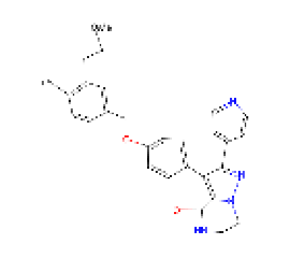 COCCc1cc(COc2ccc(-c3c(-c4ccncc4)nn4c3C(=O)NCC4)cc2)ccc1C(C)C